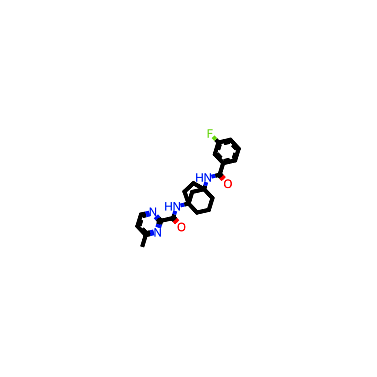 Cc1ccnc(C(=O)NC23CCCC(NC(=O)c4cccc(F)c4)(CC2)C3)n1